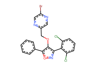 Clc1cccc(Cl)c1-c1noc(-c2ccccc2)c1OCc1cnc(Br)cn1